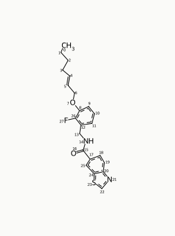 CCCCC=CCOc1cccc(CNC(=O)c2ccc3ncsc3c2)c1F